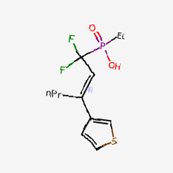 CCC/C(=C\C(F)(F)P(=O)(O)CC)c1ccsc1